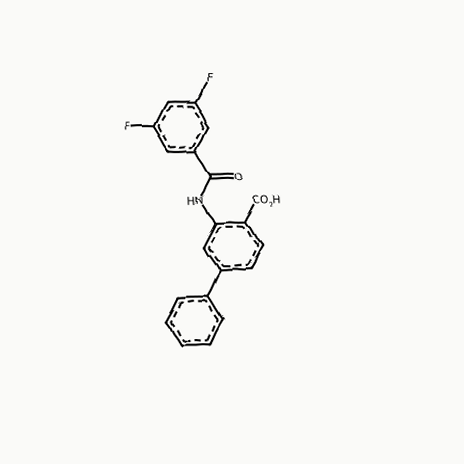 O=C(Nc1cc(-c2ccccc2)ccc1C(=O)O)c1cc(F)cc(F)c1